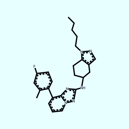 CCCCCn1ncc2c1CCC(Nc1nc3c(-c4ccc(F)cc4C)cccn3n1)C2